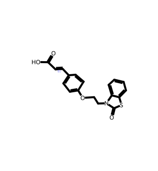 O=C(O)/C=C/c1ccc(OCCn2c(=O)sc3ccccc32)cc1